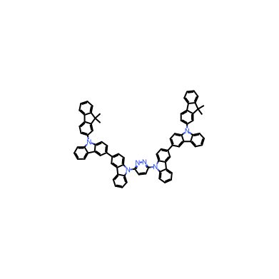 CC1(C)c2ccccc2-c2ccc(-n3c4ccccc4c4cc(-c5ccc6c(c5)c5ccccc5n6-c5ccc(-n6c7ccccc7c7cc(-c8ccc9c(c8)c8ccccc8n9-c8ccc9c(c8)C(C)(C)c8ccccc8-9)ccc76)nn5)ccc43)cc21